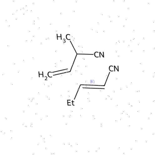 C=CC(C)C#N.CC/C=C/C#N